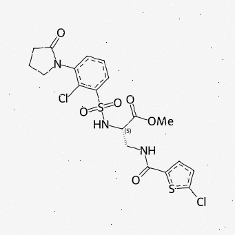 COC(=O)[C@H](CNC(=O)c1ccc(Cl)s1)NS(=O)(=O)c1cccc(N2CCCC2=O)c1Cl